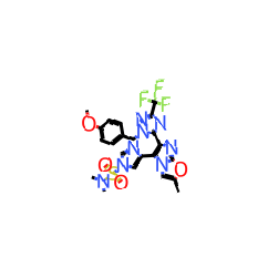 COc1ccc(Cn2nc(C(F)(F)F)nc2-c2nc3oc(C)cn3c2-c2cn(S(=O)(=O)N(C)C)cn2)cc1